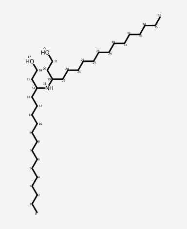 CCCCCCCCCCCCCCC(CCO)NC(CCO)CCCCCCCCCCCCCC